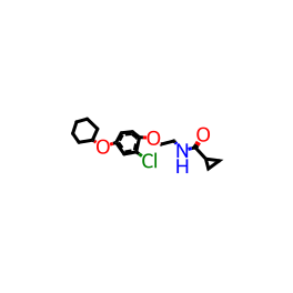 O=C(NCCOc1ccc(OC2CCCCC2)cc1Cl)C1CC1